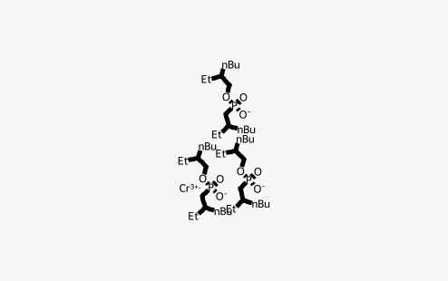 CCCCC(CC)COP(=O)([O-])CC(CC)CCCC.CCCCC(CC)COP(=O)([O-])CC(CC)CCCC.CCCCC(CC)COP(=O)([O-])CC(CC)CCCC.[Cr+3]